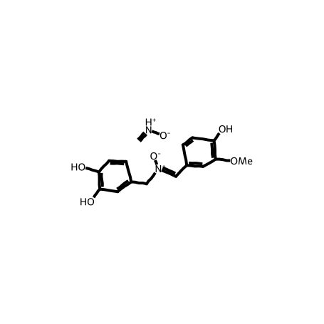 C=[NH+][O-].COc1cc(C=[N+]([O-])Cc2ccc(O)c(O)c2)ccc1O